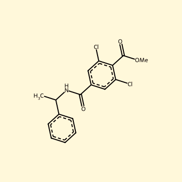 COC(=O)c1c(Cl)cc(C(=O)NC(C)c2ccccc2)cc1Cl